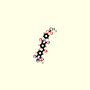 CC(=O)Oc1ccc(N2C(=O)c3ccc(C(=O)c4ccc5c(c4)C(=O)N(C)C5=O)cc3C2=O)cc1